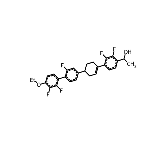 CCOc1ccc(-c2ccc(C3CC=C(c4ccc(C(C)O)c(F)c4F)CC3)cc2F)c(F)c1F